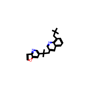 CC(C)(C)Cc1cccc2cc(CC(C)(C)c3cnc4ccoc4c3)cnc12